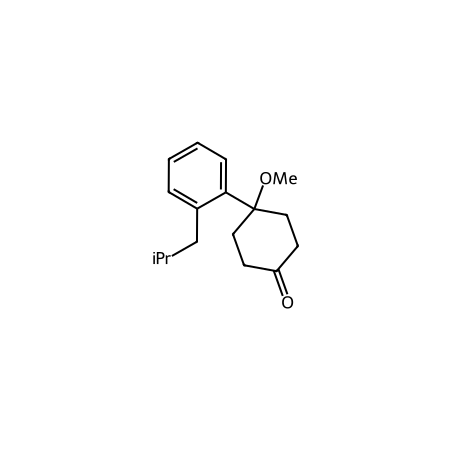 COC1(c2ccccc2CC(C)C)CCC(=O)CC1